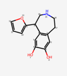 Oc1cc2c(cc1O)C(c1ccco1)CNCC2